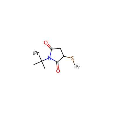 CC(C)SC1CC(=O)N(C(C)(C)C(C)C)C1=O